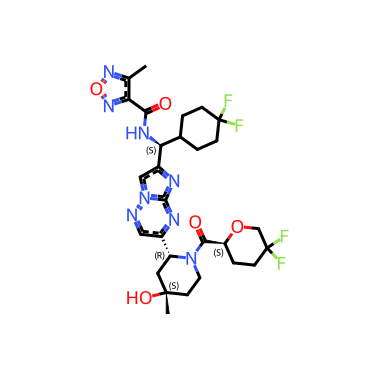 Cc1nonc1C(=O)N[C@H](c1cn2ncc([C@H]3C[C@@](C)(O)CCN3C(=O)[C@@H]3CCC(F)(F)CO3)nc2n1)C1CCC(F)(F)CC1